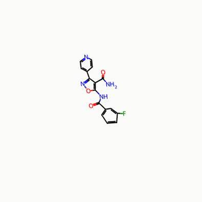 NC(=O)c1c(-c2ccncc2)noc1NC(=O)c1cccc(F)c1